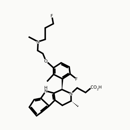 Cc1c(OCCN(C)CCCF)ccc(F)c1[C@@H]1c2[nH]c3ccccc3c2C[C@@H](C)N1CCC(=O)O